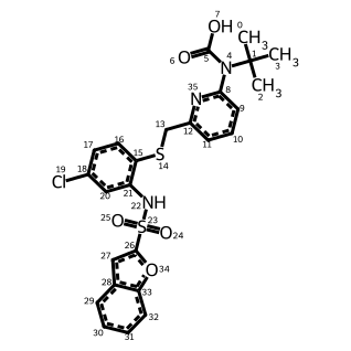 CC(C)(C)N(C(=O)O)c1cccc(CSc2ccc(Cl)cc2NS(=O)(=O)c2cc3ccccc3o2)n1